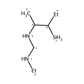 CCNCNC(C)C([SiH3])CC